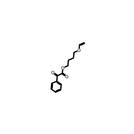 C=COCCCCOC(=O)C(=O)c1ccccc1